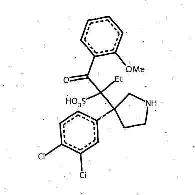 CCC(C(=O)c1ccccc1OC)(C1(c2ccc(Cl)c(Cl)c2)CCNC1)S(=O)(=O)O